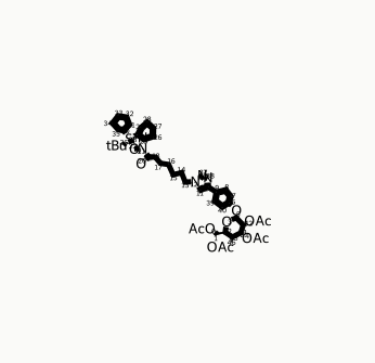 CC(=O)OC[C@H]1O[C@H](Oc2ccc(-c3cn(CCCCCCC(=O)NO[Si](c4ccccc4)(c4ccccc4)C(C)(C)C)nn3)cc2)[C@H](OC(C)=O)[C@@H](OC(C)=O)[C@@H]1OC(C)=O